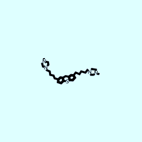 CN1CCN(CCCCCc2ccc3c(c2)Cc2cc(CCCCCN4CCN(C)CC4)ccc2S3)CC1